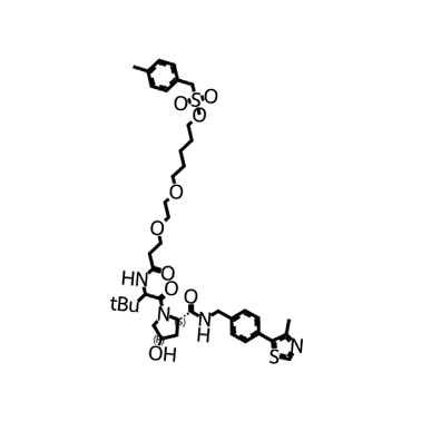 Cc1ccc(CS(=O)(=O)OCCCCCOCCOCCC(=O)NC(C(=O)N2C[C@H](O)C[C@H]2C(=O)NCc2ccc(-c3scnc3C)cc2)C(C)(C)C)cc1